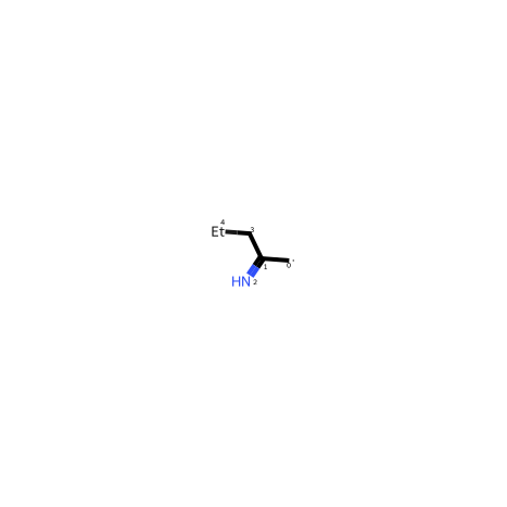 [CH2]C(=N)CCC